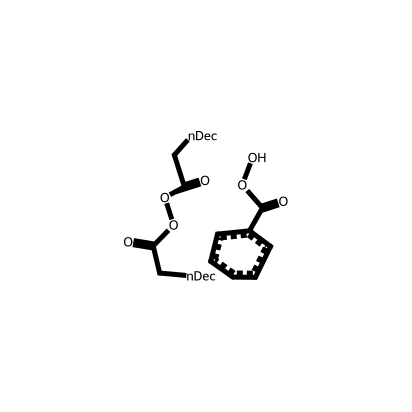 CCCCCCCCCCCC(=O)OOC(=O)CCCCCCCCCCC.O=C(OO)c1ccccc1